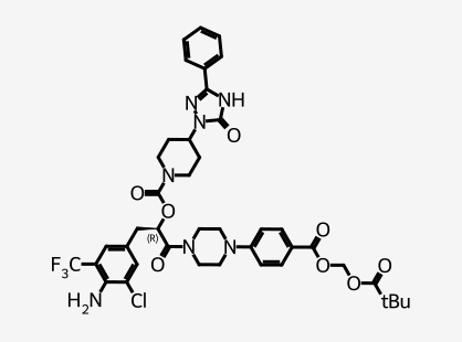 CC(C)(C)C(=O)OCOC(=O)c1ccc(N2CCN(C(=O)[C@@H](Cc3cc(Cl)c(N)c(C(F)(F)F)c3)OC(=O)N3CCC(n4nc(-c5ccccc5)[nH]c4=O)CC3)CC2)cc1